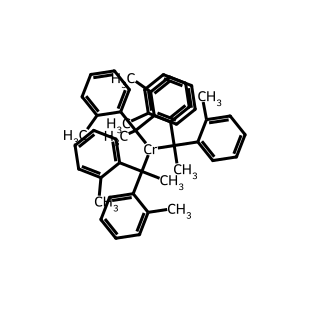 Cc1ccccc1[C](C)(c1ccccc1C)[Cr]([C](C)(c1ccccc1C)c1ccccc1C)[C](C)(c1ccccc1C)c1ccccc1C